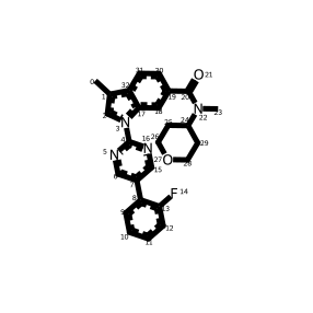 Cc1cn(-c2ncc(-c3ccccc3F)cn2)c2cc(C(=O)N(C)C3CCOCC3)ccc12